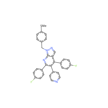 CSc1ccc(Cn2ncc3c(-c4ccc(F)cc4)c(-c4ccncc4)c(-c4ccc(F)cc4)nc32)cc1